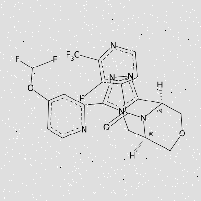 O=C(c1ccnc(C(F)(F)F)c1F)N1[C@H]2COC[C@@H]1c1nnc(-c3cc(OC(F)F)ccn3)n1C2